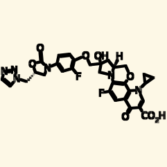 O=C(O)c1cn(C2CC2)c2c3c(c(F)cc2c1=O)N1C[C@](O)(COc2ccc(N4C[C@H](Cn5ccnn5)OC4=O)cc2F)C[C@@H]1CO3